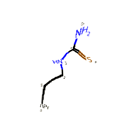 CCCCCNC(N)=S